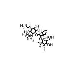 CNC1C(OC2C(O[C@H]3[C@H](O)[C@@H](O)[C@H](NCN)[C@@H](O)[C@@H]3N=C(N)N)O[C@@H](C)[C@]2(O)C=O)O[C@@H](CO)C(O)C1O